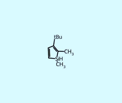 CC1=C(C(C)(C)C)C=C[SiH]1C